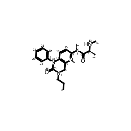 CCCN1Cc2nc(NC(=O)[C@H](C)NC)ccc2N(c2ccccc2)C1=O